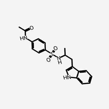 CC(=O)Nc1ccc(S(=O)(=O)NC(C)Cc2c[nH]c3ccccc23)cc1